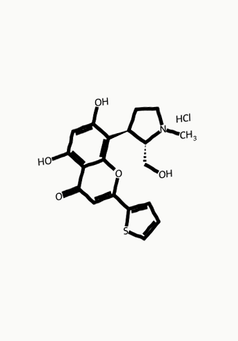 CN1CC[C@H](c2c(O)cc(O)c3c(=O)cc(-c4cccs4)oc23)[C@H]1CO.Cl